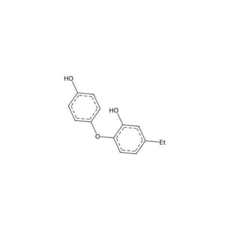 CCc1ccc(Oc2ccc(O)cc2)c(O)c1